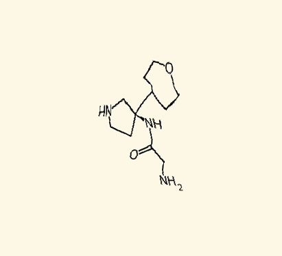 NCC(=O)N[C@@]1(C2CCOCC2)CCNC1